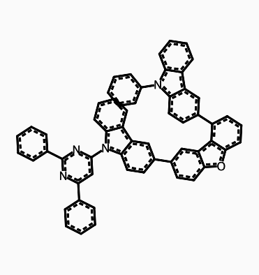 c1ccc(-c2cc(-n3c4ccccc4c4cc(-c5ccc6oc7cccc(-c8ccc9c(c8)c8ccccc8n9-c8ccccc8)c7c6c5)ccc43)nc(-c3ccccc3)n2)cc1